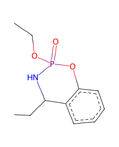 CCOP1(=O)NC(CC)c2ccccc2O1